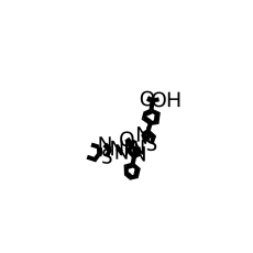 CCc1sc(N/N=C2\C(=O)N(c3nc(-c4ccc(C(=O)O)cc4)cs3)N=C2c2ccccc2)nc1C